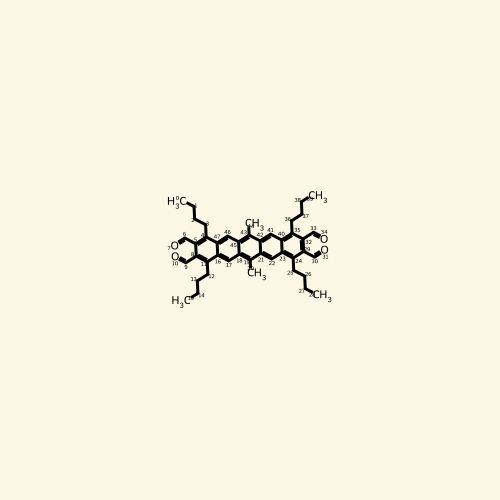 CCCCc1c(C=O)c(C=O)c(CCCC)c2cc3c(C)c4cc5c(CCCC)c(C=O)c(C=O)c(CCCC)c5cc4c(C)c3cc12